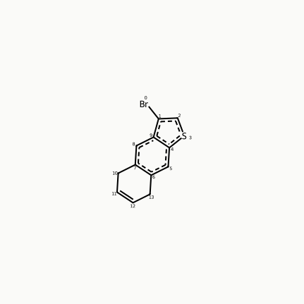 Brc1csc2cc3c(cc12)CC=CC3